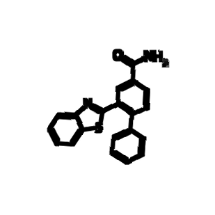 NC(=O)c1ccc(-c2ccccc2)c(-c2nc3ccccc3s2)c1